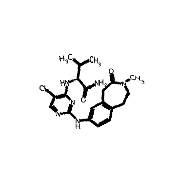 CC(C)[C@H](Nc1nc(Nc2ccc3c(c2)CC(=O)N(C)CC3)ncc1Cl)C(N)=O